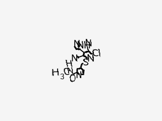 CNC(=O)c1cc(CSc2nc(Cl)c(C#N)c(-c3ccn[nH]3)c2C#N)ccn1